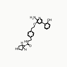 Nc1ncc(-c2ccccc2O)cc1OCCc1ccc(CNC(=O)[C@H]2[C@@H]3CNC[C@@H]32)cc1